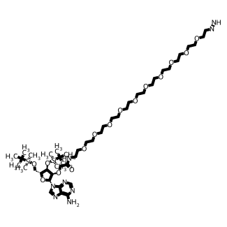 CC(C)(C)[Si](C)(C)OC[C@H]1O[C@@H](n2cnc3c(N)ncnc32)[C@H](OCC(=O)NCCOCCOCCOCCOCCOCCOCCOCCOCCOCCOCCN=N)[C@@H]1O[Si](C)(C)C(C)(C)C